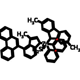 CC1=C[CH]([Zr](=[SiH2])([c]2ccccc2)([c]2ccccc2)[CH]2c3cc(C)ccc3-c3ccc(C)cc32)c2cccc(-c3cc4ccccc4c4ccccc34)c21